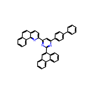 c1ccc(-c2ccc(-c3cc(-c4ccc5ccc6ccccc6c5n4)nc(-c4cc5ccccc5c5ccccc45)n3)cc2)cc1